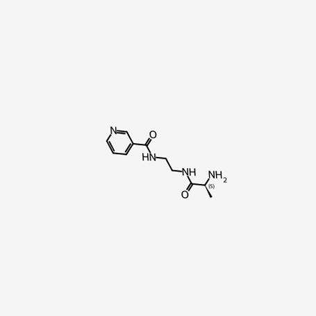 C[C@H](N)C(=O)NCCNC(=O)c1cccnc1